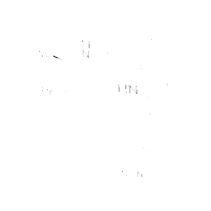 CC(C)C[C@@H](C#N)NC(=O)[C@@H]1CCCC[C@@H]1NC(=O)c1ccc2c(cnn2C)c1